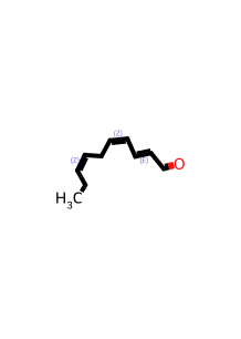 CC/C=C\C/C=C\C=C\C=O